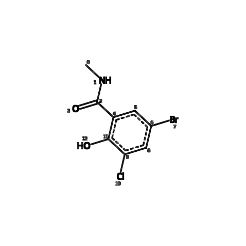 CNC(=O)c1cc(Br)cc(Cl)c1O